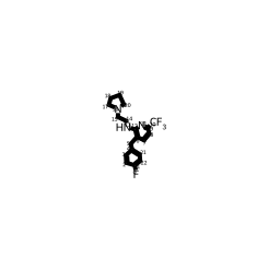 Fc1ccc(Cc2ccc(C(F)(F)F)nc2NCCN2CCCC2)cc1